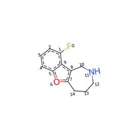 Fc1cccc2oc3c(c12)CNCCC3